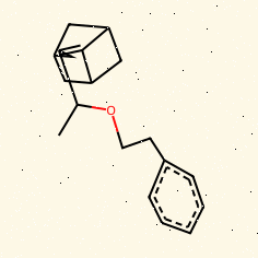 CC(OCCc1ccccc1)C1=C2C3CC(C1)CC2C3